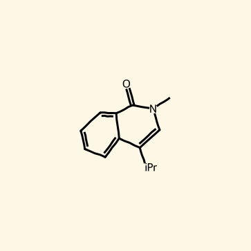 CC(C)c1cn(C)c(=O)c2ccccc12